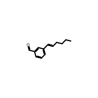 CCCCC=Cc1cccc(C=O)c1